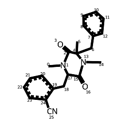 CN1C(=O)C(C)(Cc2ccccc2)N(C)C(=O)C1Cc1ccccc1C#N